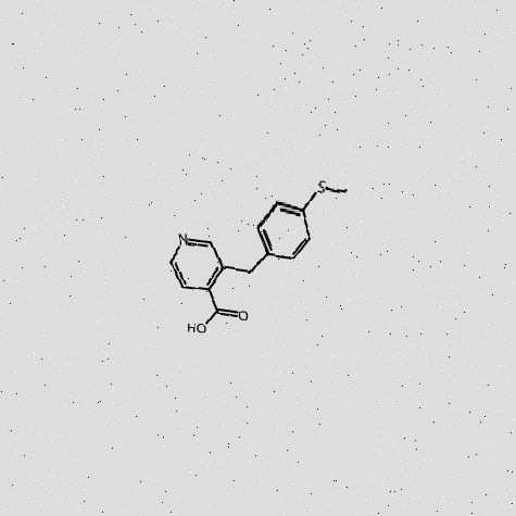 CSc1ccc(Cc2cnccc2C(=O)O)cc1